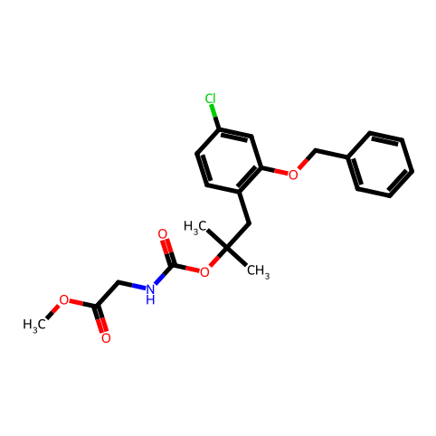 COC(=O)CNC(=O)OC(C)(C)Cc1ccc(Cl)cc1OCc1ccccc1